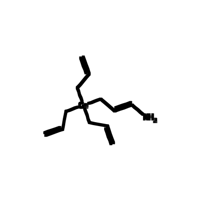 C=C[CH2][Ge]([CH2]C=C)([CH2]C=C)[CH2]C=CN